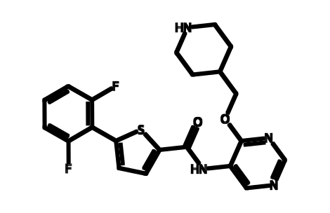 O=C(Nc1cncnc1OCC1CCNCC1)c1ccc(-c2c(F)cccc2F)s1